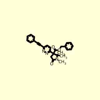 CN1C(=O)CC(C(=O)OCc2ccccc2)(c2ccc(C#Cc3ccccc3)nn2)C1(C)C